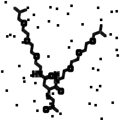 CC(=O)CSC(CC(=O)NCCOCCOCCOCC(C)C)C(=O)NCCOCCOCCOCC(C)C